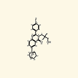 CC(C)(CO)Cn1c(-c2ccc(F)cc2)nc2ccc(N3CCC4CCC3CC4)cc2c1=O